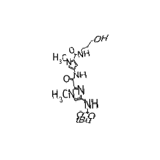 Cn1cc(NC(=O)c2nc(NC(=O)OC(C)(C)C)cn2C)cc1C(=O)NCCCO